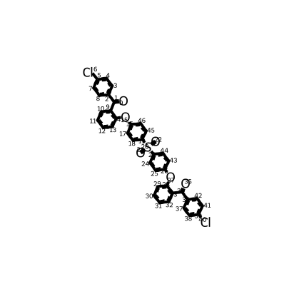 O=C(c1ccc(Cl)cc1)c1ccccc1Oc1ccc(S(=O)(=O)c2ccc(Oc3ccccc3C(=O)c3ccc(Cl)cc3)cc2)cc1